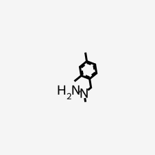 Cc1ccc(CN(C)N)c(C)c1